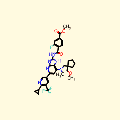 COCC1(CN(C)c2cc(-c3cnc(C4CC4)c(C(F)(F)F)c3)nc3nc(NC(=O)c4ccc(C(=O)OC)cc4F)[nH]c23)CCCC1